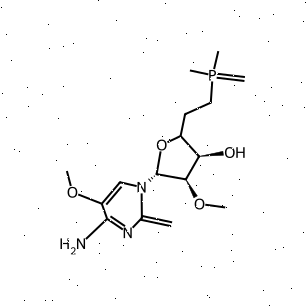 C=C1N=C(N)C(OC)=CN1[C@@H]1OC(CCP(=C)(C)C)[C@@H](O)[C@H]1OC